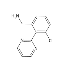 NCc1cccc(Cl)c1-c1ncccn1